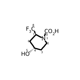 O=C(O)N1CC[C@H](O)C[C@H]1C(F)(F)F